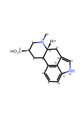 CN1C[C@H](C(=O)O)CC2c3cccc4[nH]cc(c34)C[C@H]21